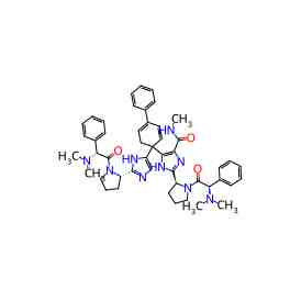 CNC(=O)c1nc([C@@H]2CCCN2C(=O)[C@@H](c2ccccc2)N(C)C)[nH]c1C1(c2cnc([C@@H]3CCCN3C(=O)[C@@H](c3ccccc3)N(C)C)[nH]2)C=CC(c2ccccc2)=CC1